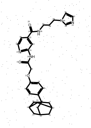 O=C(COc1ccc(C23CC4CC(CC(C4)C2)C3)cc1)Nc1cc(C(=O)NCCCn2ccnc2)ccn1